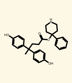 CC(CCC(=O)OC1(c2ccccc2)CCNCC1)(c1ccc(O)cc1)c1ccc(O)cc1